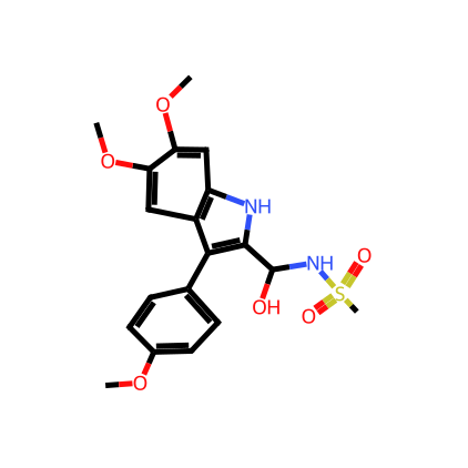 COc1ccc(-c2c(C(O)NS(C)(=O)=O)[nH]c3cc(OC)c(OC)cc23)cc1